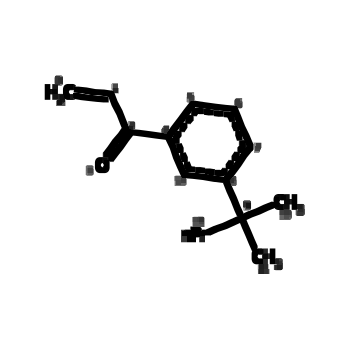 C=CC(=O)c1cccc(C(C)(C)CCC)c1